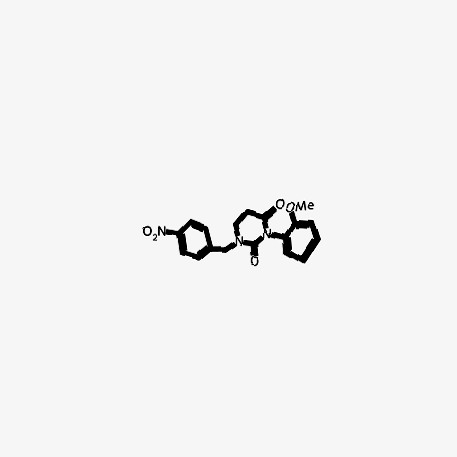 COc1ccccc1N1C(=O)CCN(Cc2ccc([N+](=O)[O-])cc2)C1=O